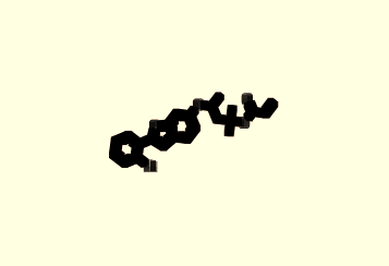 C=CC(=O)OC(C)(C)CC(C)Oc1ccc2cc(-c3ccccc3CC)oc2c1